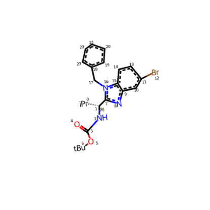 CC(C)[C@@H](NC(=O)OC(C)(C)C)c1nc2cc(Br)ccc2n1Cc1ccccc1